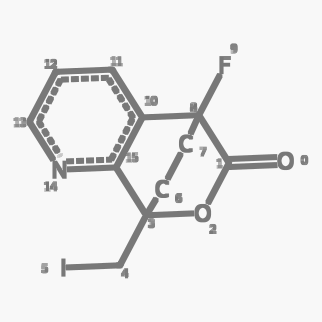 O=C1OC2(CI)CCC1(F)c1cccnc12